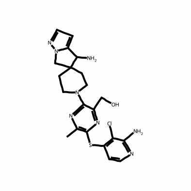 Cc1nc(N2CCC3(CC2)Cn2nccc2C3N)c(CO)nc1Sc1ccnc(N)c1Cl